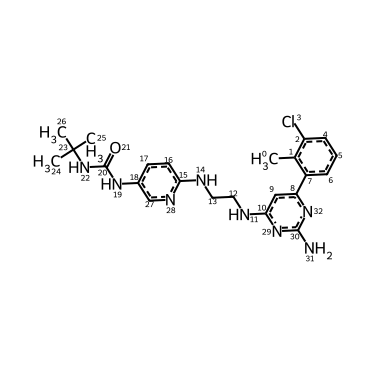 Cc1c(Cl)cccc1-c1cc(NCCNc2ccc(NC(=O)NC(C)(C)C)cn2)nc(N)n1